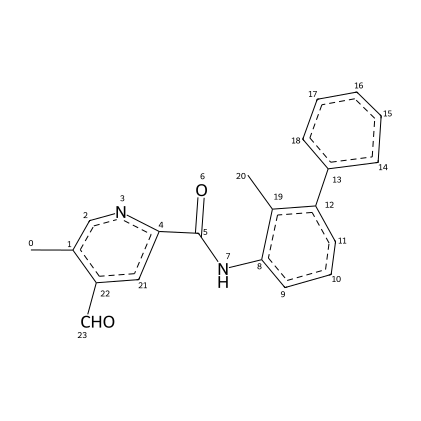 Cc1cnc(C(=O)Nc2cccc(-c3ccccc3)c2C)cc1C=O